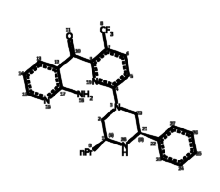 CCC[C@H]1CN(c2ccc(C(F)(F)F)c(C(=O)c3cccnc3N)n2)C[C@@H](c2ccccc2)N1